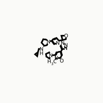 Cn1c(N2CCCC2)cc(-c2cn(C3(c4ccc(N5CCC[C@@H](NCC6CC6)C5)cn4)COC3)nn2)cc1=O